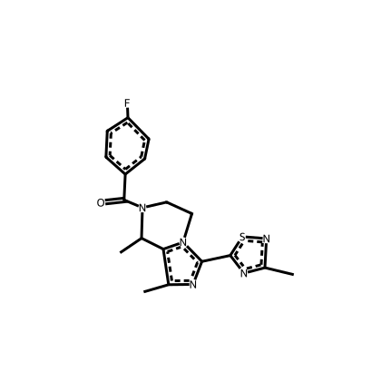 Cc1nsc(-c2nc(C)c3n2CCN(C(=O)c2ccc(F)cc2)C3C)n1